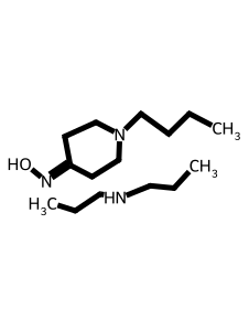 CCCCN1CCC(=NO)CC1.CCCNCCC